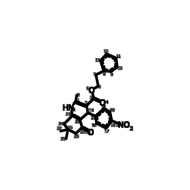 CC1=C(C(=O)OCCc2ccccc2)C(c2ccc([N+](=O)[O-])cc2)C2=C(CC(C)(C)CC2=O)N1